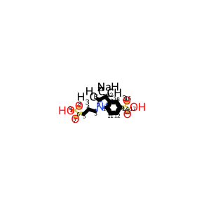 CC1=[N+](CCCS(=O)(=O)O)c2ccc(S(=O)(=O)O)cc2C1(C)C.[NaH]